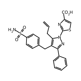 C=CCc1c(Cc2ccc(S(N)(=O)=O)cc2)c(-c2ccccc2)nn1-c1nc(C(=O)O)cs1